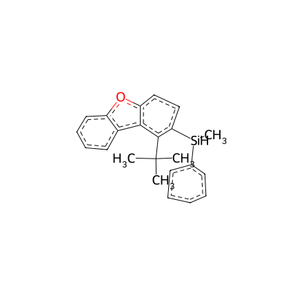 C[SiH](c1ccccc1)c1ccc2oc3ccccc3c2c1C(C)(C)C